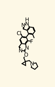 Cc1ccc2[nH]ncc2c1-c1c(Cl)cc2cnc(OCC3(CN4CCCC4)CC3)nc2c1F